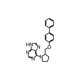 c1ccc(-c2ccc(OCC3CCCN3c3ncnc4[nH]cnc34)cc2)cc1